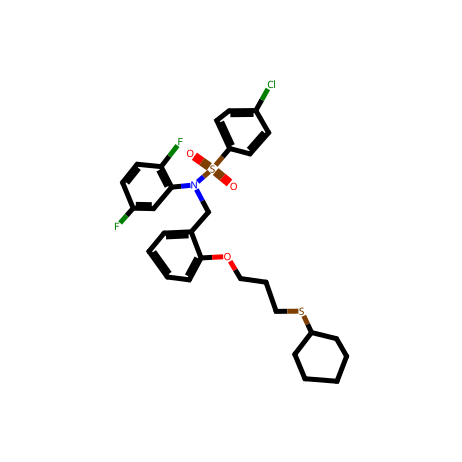 O=S(=O)(c1ccc(Cl)cc1)N(Cc1ccccc1OCCCSC1CCCCC1)c1cc(F)ccc1F